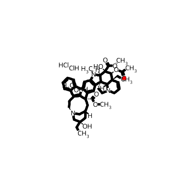 CC[C@]1(O)C[C@@H]2C[N@@](CCc3c([nH]c4ccccc34)[C@@](C(=O)OC)(c3cc4c(cc3OC)N(C)[C@H]3[C@@](O)(C(=O)OC)[C@H](OC(C)=O)[C@]5(CC)C=CCN6CC[C@]43[C@@H]65)C2)C1.Cl.Cl